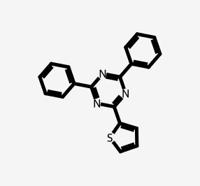 c1ccc(-c2nc(-c3ccccc3)nc(-c3cccs3)n2)cc1